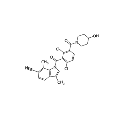 Cc1cn(C(=O)c2c(Cl)ccc(C(=O)N3CCC(O)CC3)c2Cl)c2c(C)c(C#N)ccc12